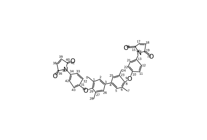 Cc1cc(-c2cc(C)c(Oc3ccc(N4C(=O)C=CC4=O)cc3)c(C)c2)cc(C)c1Oc1ccc(N2C(=O)C=CC2=O)cc1